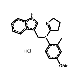 COc1ccc(N(Cc2c[nH]c3ccccc23)C2=NCCC2)c(C)c1.Cl